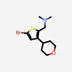 CN(C)Cc1sc(Br)cc1C1CCOCC1